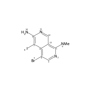 CNc1ncc(Br)c2c(I)c(N)ncc12